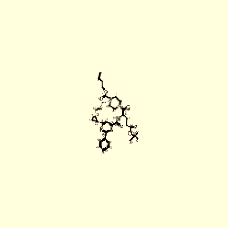 CCCCOC(=O)N1CCN(C(=O)C(CCC(=O)OC(C)(C)C)NC(=O)c2cc([C@H]3C[C@@H]3COC)nc(-c3ccc(F)cc3)n2)CC1